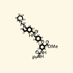 COC(=O)c1cc(NC(=O)NC(C)C)ccc1Oc1ccc(NC(=O)c2ccc3c(ccn3CCN3CCCCC3)c2)cc1